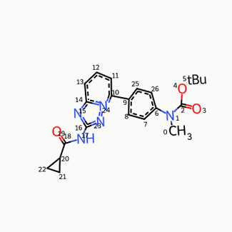 CN(C(=O)OC(C)(C)C)c1ccc(-c2cccc3nc(NC(=O)C4CC4)nn23)cc1